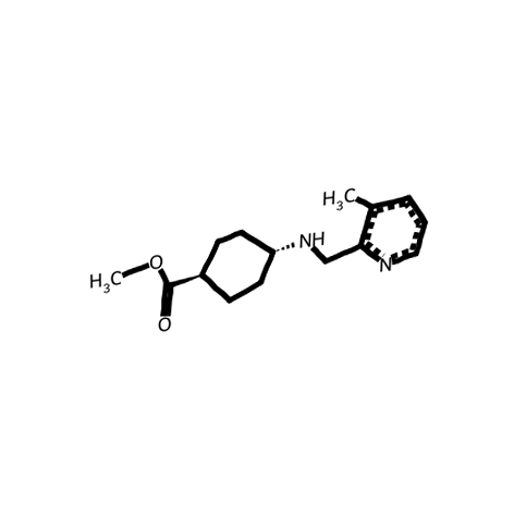 COC(=O)[C@H]1CC[C@H](NCc2ncccc2C)CC1